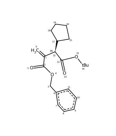 C=C(C(=O)OCc1ccccc1)[C@H](C(=O)OC(C)(C)C)C1CCCC1